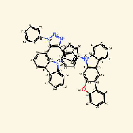 c1ccc(-c2nnn(-c3ccccc3)c2-c2cccc3c4ccccc4n(-c4cccc(-n5c6ccccc6c6cc7c(cc65)oc5ccccc57)c4)c23)cc1